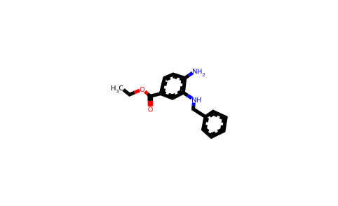 CCOC(=O)c1ccc(N)c(NCc2ccccc2)c1